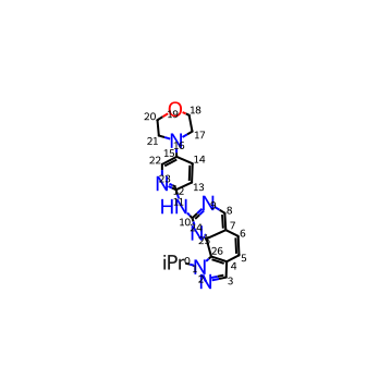 CC(C)n1ncc2ccc3cnc(Nc4ccc(N5CCOCC5)cn4)nc3c21